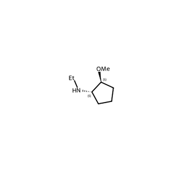 CCN[C@H]1CCC[C@@H]1OC